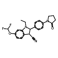 CCN1c2cc(OC(F)F)ccc2C(C#N)C1c1ccc(N2CCCC2=O)cc1